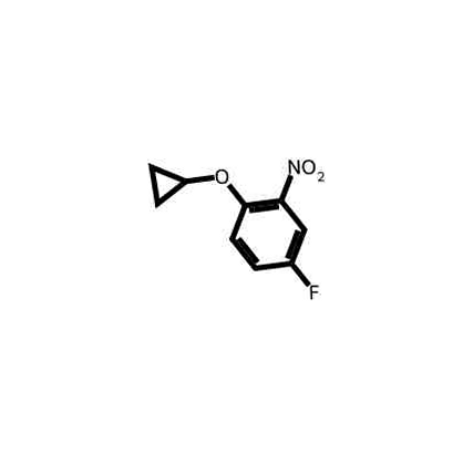 O=[N+]([O-])c1cc(F)ccc1OC1CC1